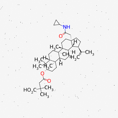 C=C(C)[C@@H]1CC[C@]2(CC(=O)NC3CC3)CC[C@]3(C)[C@H](CC[C@@H]4[C@@]5(C)CC[C@H](OC(=O)CC(C)(C)C(=O)O)C(C)(C)[C@@H]5CC[C@]43C)[C@@H]12